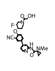 CNC1(C(=O)Nc2cc(-c3ccc(O[C@H]4CCN(C(=O)CO)C[C@H]4F)c(C#N)c3)ccn2)CC1